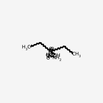 CCCCCCCC/C=C\CCCCCCCC(=O)OC(C(=O)CCCCCCC/C=C\CCCCCCCC)C(O)CO.NCCNP(=O)=O